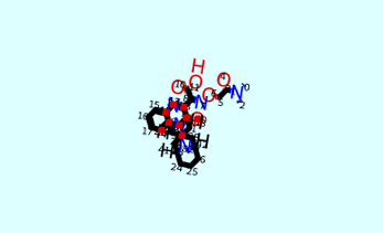 CN(C)C(=O)CO/N=C(\C(=O)O)c1nc2ccccc2n([C@H]2C[C@H]3CCC[C@@H](C2)N3[C@H]2C[C@@H]3CCC[C@@H](C3)C2)c1=O